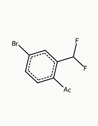 CC(=O)c1ccc(Br)cc1C(F)F